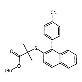 CC(C)(C)OC(=O)C(C)(C)Sc1ccc2ccccc2c1-c1ccc(C#N)cc1